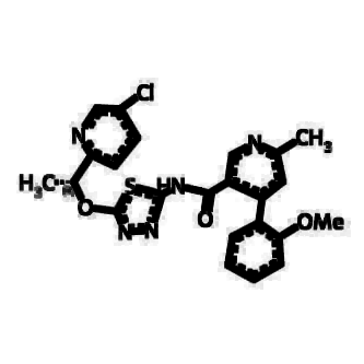 COc1ccccc1-c1cc(C)ncc1C(=O)Nc1nnc(O[C@H](C)c2ccc(Cl)cn2)s1